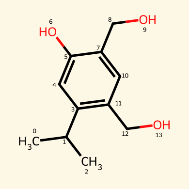 CC(C)c1cc(O)c(CO)cc1CO